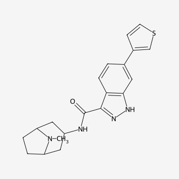 CN1C2CCC1CC(NC(=O)c1n[nH]c3cc(-c4ccsc4)ccc13)C2